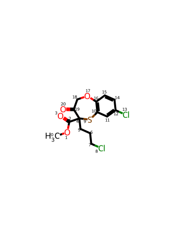 COC(=O)C1(CCCCl)Sc2cc(Cl)ccc2OCC1=O